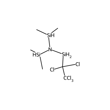 C[SiH](C)N([SiH2]C(Cl)(Cl)C(Cl)(Cl)Cl)[SiH](C)C